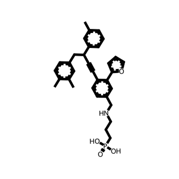 Cc1cccc(C(C#Cc2ccc(CNCCCP(=O)(O)O)cc2-c2ccco2)Cc2ccc(C)c(C)c2)c1